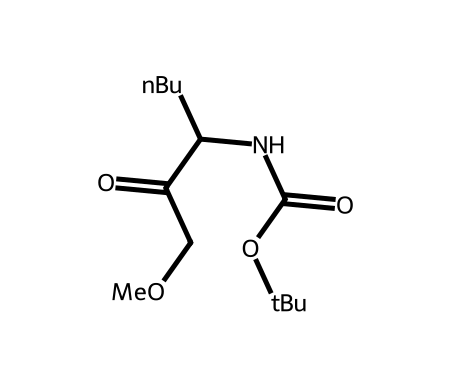 CCCCC(NC(=O)OC(C)(C)C)C(=O)COC